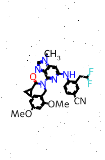 COc1ccc(CN(C(=O)C2CC2)c2nc(Nc3ccc(C#N)cc3CC(F)F)cc3c2ncn3C)c(OC)c1